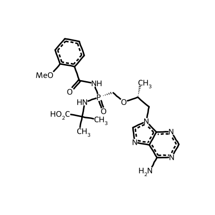 COc1ccccc1C(=O)N[P@](=O)(CO[C@H](C)Cn1cnc2c(N)ncnc21)NC(C)(C)C(=O)O